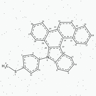 CSc1ccc(-n2c3ccccc3c3c4c5ccccc5ccc4c4ccccc4c32)cc1